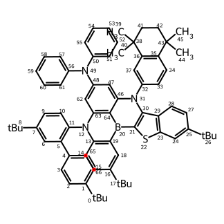 CC(C)(C)c1ccc(-c2cc(C(C)(C)C)ccc2N2c3ccc(C(C)(C)C)cc3B3c4sc5cc(C(C)(C)C)ccc5c4N(c4ccc5c(c4)C(C)(C)CCC5(C)C)c4cc(N(c5ccccc5)c5ccccc5)cc2c43)cc1